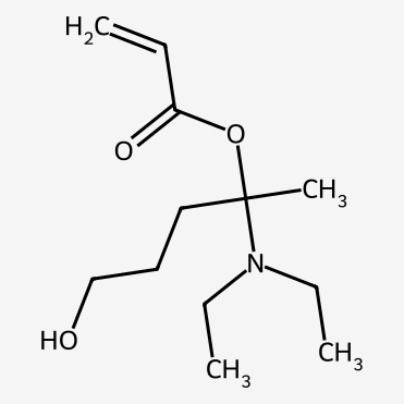 C=CC(=O)OC(C)(CCCO)N(CC)CC